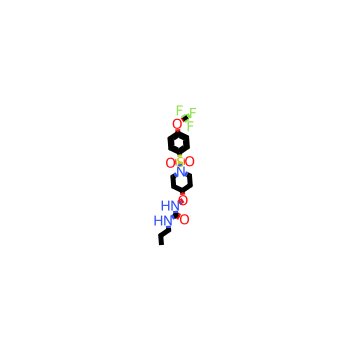 CCCNC(=O)NOC1CCN(S(=O)(=O)c2ccc(OC(F)(F)F)cc2)CC1